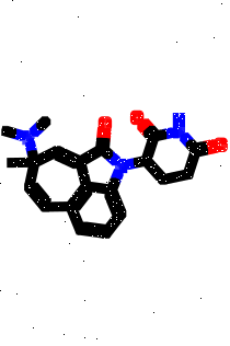 CN(C)C1(C)C=Cc2cccc3c2C(=C1)C(=O)N3C1CCC(=O)NC1=O